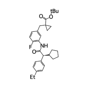 CCc1ccc([C@@H](C(=O)Nc2cc(CC3(C(=O)OC(C)(C)C)CC3)ccc2F)C2CCCC2)cc1